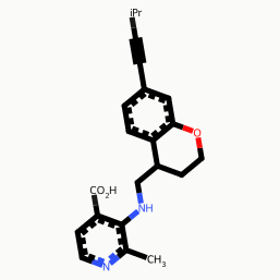 Cc1nccc(C(=O)O)c1NCC1CCOc2cc(C#CC(C)C)ccc21